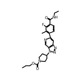 CCCOC(=O)N1CCC(n2nnc3cc(-c4ccc(C(=O)NCC)c(F)c4C)ncc32)CC1